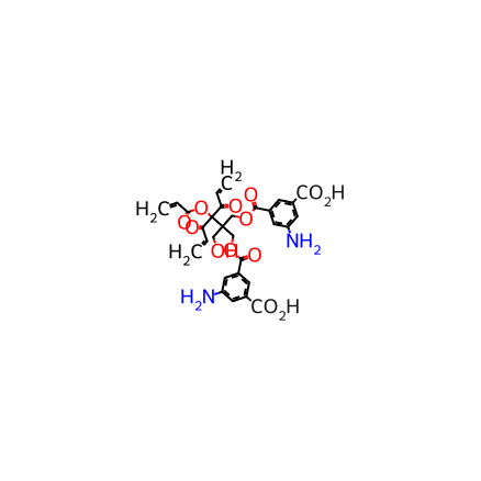 C=CC(=O)OC(C(=O)C=C)(C(=O)C=C)C(CO)(COC(=O)c1cc(N)cc(C(=O)O)c1)COC(=O)c1cc(N)cc(C(=O)O)c1